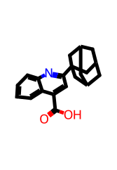 O=C(O)c1cc(C23CC4CC(CC(C4)C2)C3)nc2ccccc12